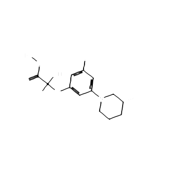 CCOC(=O)[C@@H]1CCCN(c2cc(Cl)cc(OC(C)(C)C(=O)OC(C)(C)C)c2)C1